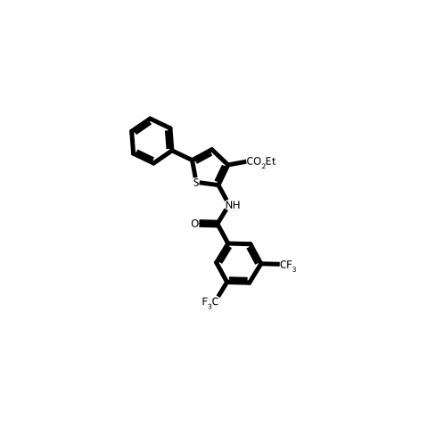 CCOC(=O)c1cc(-c2ccccc2)sc1NC(=O)c1cc(C(F)(F)F)cc(C(F)(F)F)c1